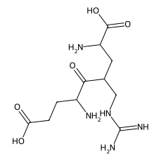 N=C(N)NCC(CC(N)C(=O)O)C(=O)C(N)CCC(=O)O